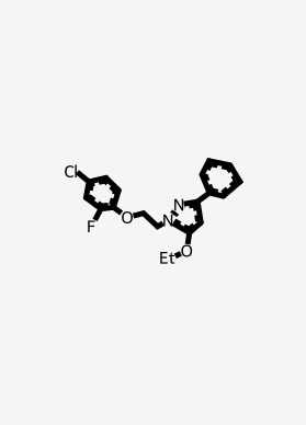 CCOc1cc(-c2ccccc2)nn1CCOc1ccc(Cl)cc1F